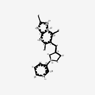 Cc1nc2nc(C)c(CC3CCN(c4cccnc4)C3)c(C)n2n1